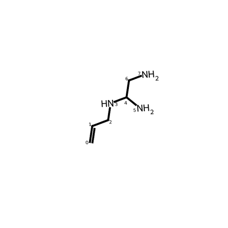 C=CCNC(N)CN